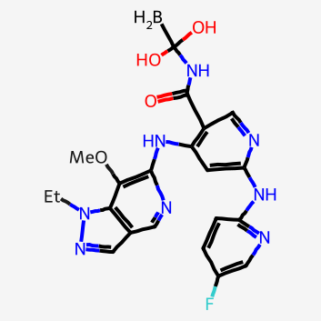 BC(O)(O)NC(=O)c1cnc(Nc2ccc(F)cn2)cc1Nc1ncc2cnn(CC)c2c1OC